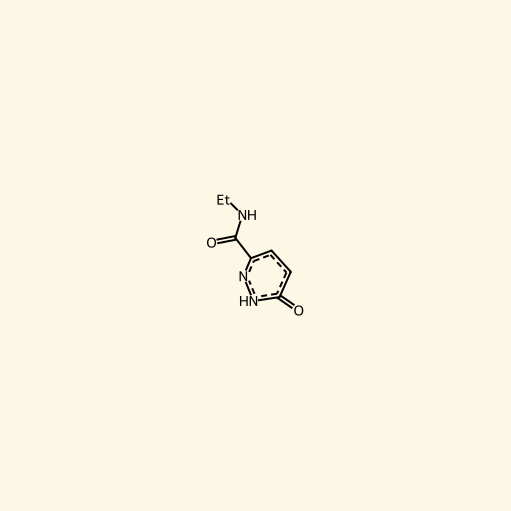 CCNC(=O)c1ccc(=O)[nH]n1